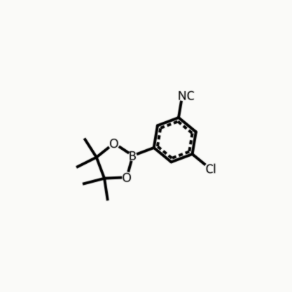 [C-]#[N+]c1cc(Cl)cc(B2OC(C)(C)C(C)(C)O2)c1